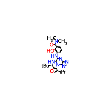 CC(C)c1coc([C@H](Nc2nc3c(nc2Nc2cccc(C(=O)N(C)C)c2O)=NCN=3)C(C)(C)C)c1